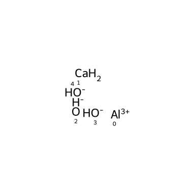 [Al+3].[CaH2].[OH-].[OH-].[OH-]